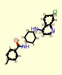 Cc1ccc(C(=O)N[C@H]2CC[C@@H](Nc3ccnc4cc(Cl)ccc34)CC2)cc1